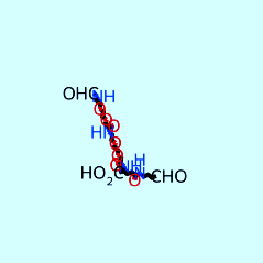 O=CCCCNC(=O)CCC(NC(=O)COCCOCCNC(=O)COCCOCCNC=O)C(=O)O